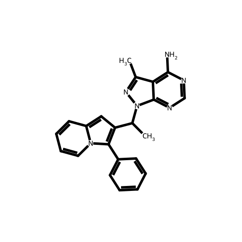 Cc1nn(C(C)c2cc3ccccn3c2-c2ccccc2)c2ncnc(N)c12